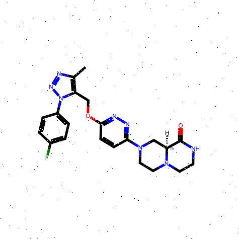 Cc1nnn(-c2ccc(F)cc2)c1COc1ccc(N2CCN3CCNC(=O)[C@@H]3C2)nn1